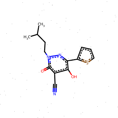 CC(C)CCn1nc(-c2cccs2)c(O)c(C#N)c1=O